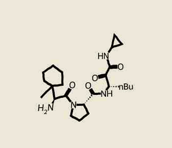 CCCC[C@H](NC(=O)[C@@H]1CCCN1C(=O)[C@@H](N)C1(C)CCCCC1)C(=O)C(=O)NC1CC1